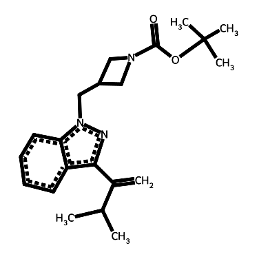 C=C(c1nn(CC2CN(C(=O)OC(C)(C)C)C2)c2ccccc12)C(C)C